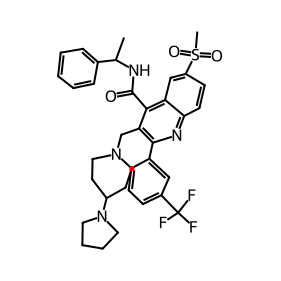 CC(NC(=O)c1c(CN2CCC(N3CCCC3)CC2)c(-c2cccc(C(F)(F)F)c2)nc2ccc(S(C)(=O)=O)cc12)c1ccccc1